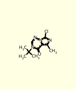 Cc1nc(Cl)n2ncn(C(C)(C)C)c(=O)c12